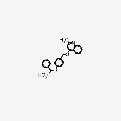 Cc1cc(OCc2ccc(OC(C(=O)O)c3ccccc3)cc2)c2ccccc2n1